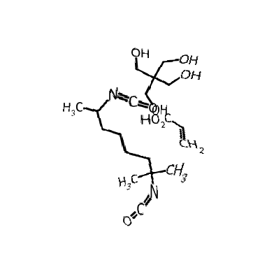 C=CC(=O)O.CC(CCCCC(C)(C)N=C=O)N=C=O.OCC(CO)(CO)CO